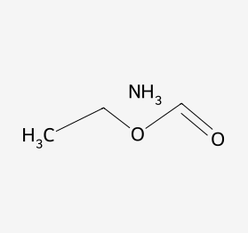 CCOC=O.N